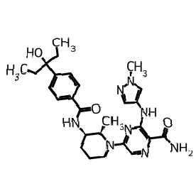 CCC(O)(CC)c1ccc(C(=O)N[C@@H]2CCCN(c3cnc(C(N)=O)c(Nc4cnn(C)c4)n3)[C@@H]2C)cc1